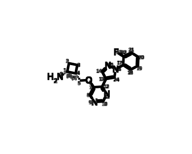 N[C@@H]1CC[C@@H]1COc1cncnc1-c1cnn(-c2ccccc2F)c1